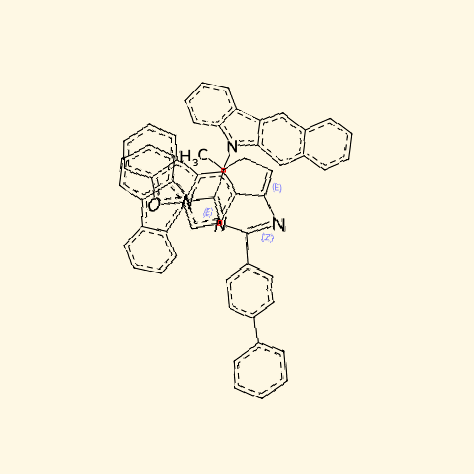 CC1C/C=C(c2ccc3oc4ccccc4c3c2-n2c3ccccc3c3cc4ccccc4cc32)/N=C(c2ccc(-c3ccccc3)cc2)\N=C/1n1c2ccccc2c2ccccc21